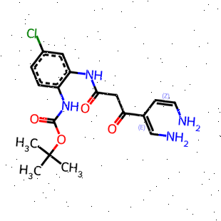 CC(C)(C)OC(=O)Nc1ccc(Cl)cc1NC(=O)CC(=O)C(/C=C\N)=C/N